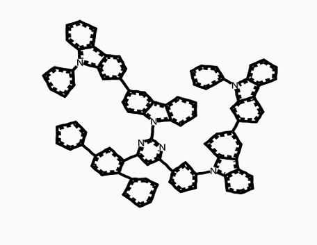 c1ccc(-c2ccc(-c3ccccc3)c(-c3cc(-c4cccc(-n5c6ccccc6c6cc(-c7ccc8c9ccccc9n(-c9ccccc9)c8c7)ccc65)c4)nc(-n4c5ccccc5c5cc(-c6ccc7c8ccccc8n(-c8ccccc8)c7c6)ccc54)n3)c2)cc1